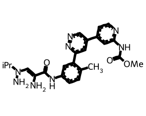 COC(=O)Nc1cc(-c2cnnc(-c3cc(NC(=O)/C(N)=C/N(N)C(C)C)ccc3C)c2)ccn1